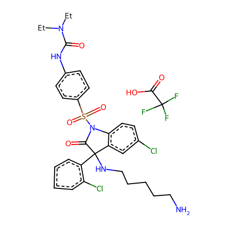 CCN(CC)C(=O)Nc1ccc(S(=O)(=O)N2C(=O)C(NCCCCCN)(c3ccccc3Cl)c3cc(Cl)ccc32)cc1.O=C(O)C(F)(F)F